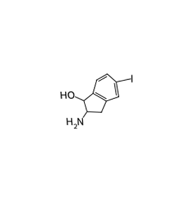 NC1Cc2cc(I)ccc2C1O